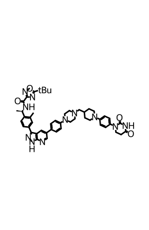 Cc1cc(-c2n[nH]c3ncc(-c4ccc(N5CCN(CC6CCN(c7ccc(N8CCC(=O)NC8=O)cc7)CC6)CC5)cc4)cc23)ccc1[C@@H](C)NC(=O)c1noc(C(C)(C)C)n1